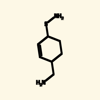 NCC1C=CC(SN)CC1